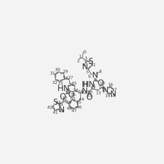 CC(C)c1nc(CN(C)C(=O)N[C@@H](CCn2ccnc2)C(=O)N[C@H](CC[C@H](Cc2ccccc2)NC(=O)OCc2nccs2)Cc2ccccc2)cs1